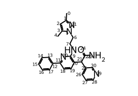 Cc1cc(C)n(CCNc2nc(-c3ccccc3)ccc2C(C(N)=O)c2cccnc2)n1